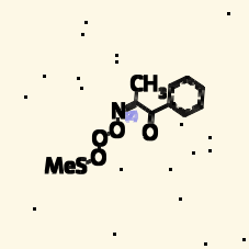 CSOOO/N=C(/C)C(=O)c1ccccc1